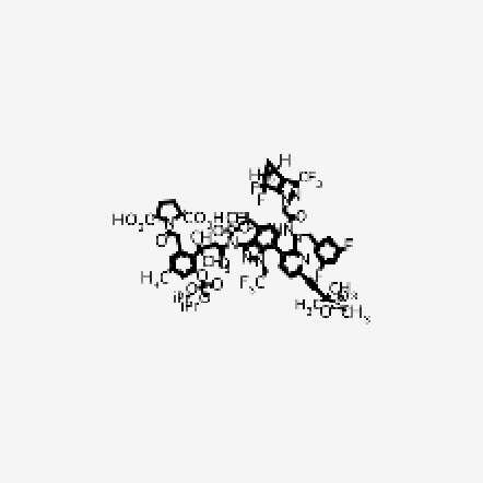 Cc1cc(CC(=O)N2[C@H](C(=O)O)CC[C@H]2C(=O)O)c(C(C)(C)CC(=O)N(c2nn(CC(F)(F)F)c3c(-c4ccc(C#CC(C)(C)S(C)(=O)=O)nc4[C@H](Cc4cc(F)cc(F)c4)NC(=O)Cn4nc(C(F)(F)F)c5c4C(F)(F)[C@@H]4C[C@H]54)ccc(Cl)c23)S(C)(=O)=O)c(OP(=O)(OC(C)C)OC(C)C)c1